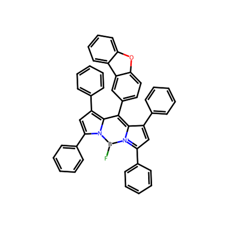 FB1n2c(-c3ccccc3)cc(-c3ccccc3)c2C(c2ccc3oc4ccccc4c3c2)=C2C(c3ccccc3)=CC(c3ccccc3)=[N+]12